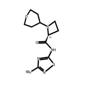 CC(C)(C)c1nsc(NC(=O)[C@@H]2CCN2C2CCOCC2)n1